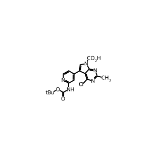 Cc1nc(Cl)c2c(-c3ccnc(NC(=O)OC(C)(C)C)c3)cn(C(=O)O)c2n1